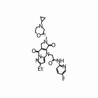 CCc1cc2n(CC(=O)Nc3ccc(F)cn3)c3c(c(=O)n2n1)CN(C[C@H]1CN(C2CC2)CCO1)C3=O